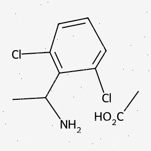 CC(=O)O.CC(N)c1c(Cl)cccc1Cl